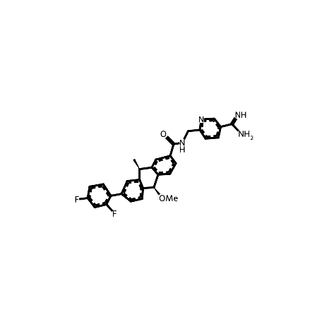 CO[C@@H]1c2ccc(C(=O)NCc3ccc(C(=N)N)cn3)cc2[C@H](C)c2cc(-c3ccc(F)cc3F)ccc21